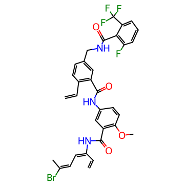 C=C/C(=C\C=C(/C)Br)NC(=O)c1cc(NC(=O)c2cc(CNC(=O)c3c(F)cccc3C(F)(F)F)ccc2C=C)ccc1OC